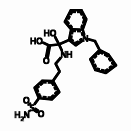 NS(=O)(=O)c1ccc(CCNC(O)(C(=O)O)c2cn(Cc3ccccc3)c3ccccc23)cc1